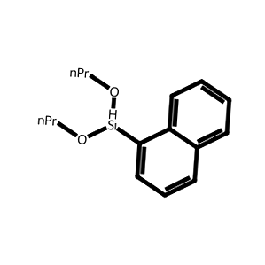 CCCO[SiH](OCCC)c1cccc2ccccc12